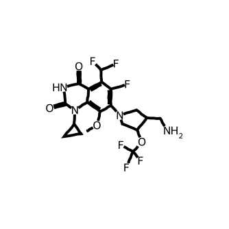 COc1c(N2CC(CN)C(OC(F)(F)F)C2)c(F)c(C(F)F)c2c(=O)[nH]c(=O)n(C3CC3)c12